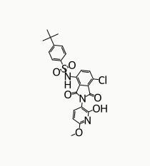 COc1ccc(N2C(=O)c3c(Cl)ccc(NS(=O)(=O)c4ccc(C(C)(C)C)cc4)c3C2=O)c(O)n1